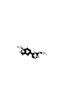 CSc1nncc(-c2ccc3c(cnn3C)c2)n1